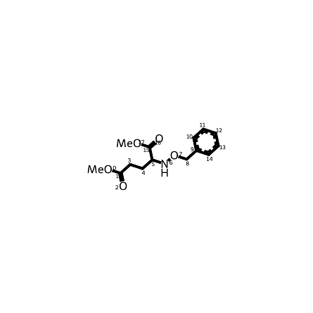 COC(=O)CCC(NOCc1ccccc1)C(=O)OC